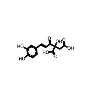 O=C(O)CC(O)(C(=O)O)C(=O)C=Cc1ccc(O)c(O)c1